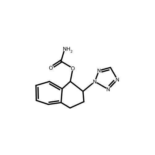 NC(=O)OC1c2ccccc2CCC1n1ncnn1